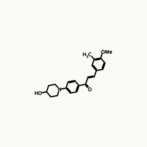 COc1ccc(C=CC(=O)c2ccc(N3CCC(O)CC3)cc2)cc1C